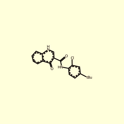 CC(C)(C)c1ccc(NC(=O)c2c[nH]c3ccccc3c2=O)c(Cl)c1